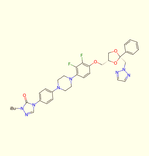 CCC(C)n1ncn(-c2ccc(N3CCN(c4ccc(OC[C@@H]5CO[C@@](Cn6nccn6)(c6ccccc6)O5)c(F)c4F)CC3)cc2)c1=O